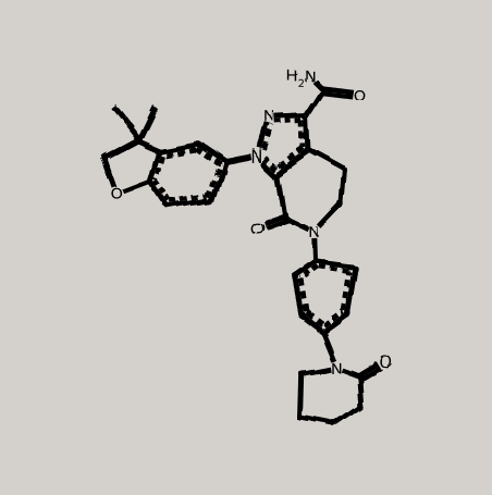 CC1(C)COc2ccc(-n3nc(C(N)=O)c4c3C(=O)N(c3ccc(N5CCCCC5=O)cc3)CC4)cc21